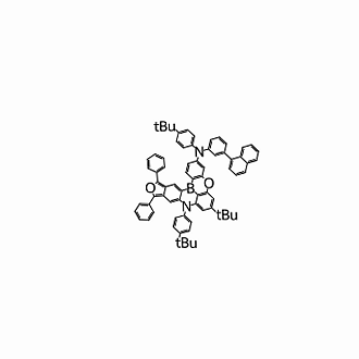 CC(C)(C)c1ccc(N(c2cccc(-c3cccc4ccccc34)c2)c2ccc3c(c2)Oc2cc(C(C)(C)C)cc4c2B3c2cc3c(-c5ccccc5)oc(-c5ccccc5)c3cc2N4c2ccc(C(C)(C)C)cc2)cc1